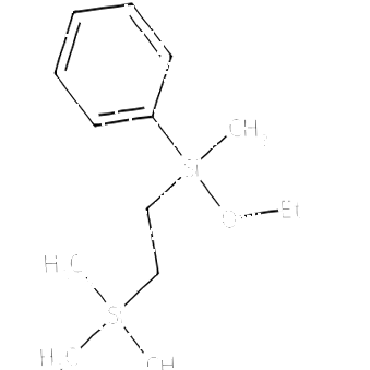 CCO[Si](C)(CC[Si](C)(C)C)c1ccccc1